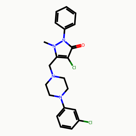 Cn1c(CN2CCN(c3cccc(Cl)c3)CC2)c(Cl)c(=O)n1-c1ccccc1